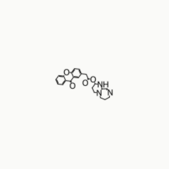 O=C(Cc1ccc2oc3ccccc3c(=O)c2c1)OC1CCN2CCCN=CC2N1